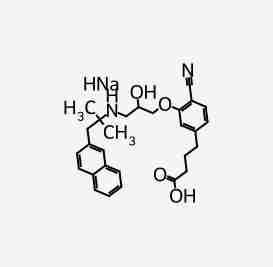 CC(C)(Cc1ccc2ccccc2c1)NCC(O)COc1cc(CCCC(=O)O)ccc1C#N.[NaH]